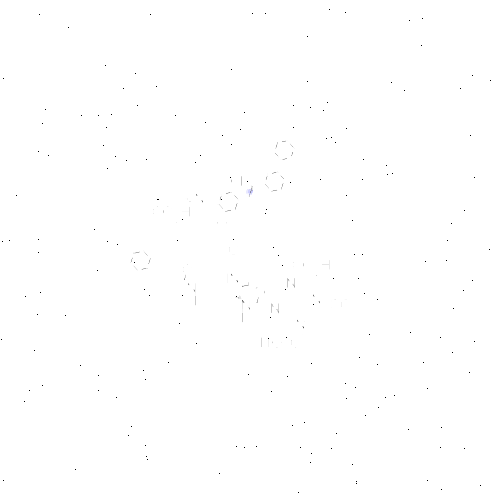 Cc1ccc(CCCC(=O)NCCCC[C@H](NC(=O)CN2CCN(CC(=O)O)CCN(CC(=O)O)CCN(CC(=O)O)CC2)C(=O)NCCOCCOc2cc(/C=C/c3cccc(-c4ccccc4)c3C)c(C(F)(F)F)cc2CN2CCCC[C@H]2C(=O)O)cc1